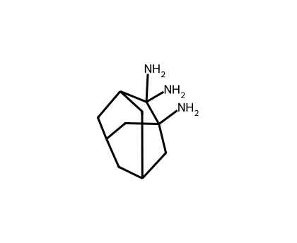 NC12CC3CC(CC(C3)C1(N)N)C2